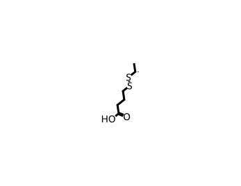 C[CH]SSCCCC(=O)O